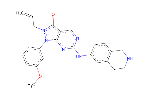 C=CCn1c(=O)c2cnc(Nc3ccc4c(c3)CCNC4)nc2n1-c1cccc(OC)c1